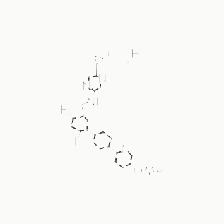 COc1ccc(-c2ccc(-c3cc(CNc4cnc(C5C[C@H]5C(=O)O)cn4)c(F)cc3F)cc2)nc1